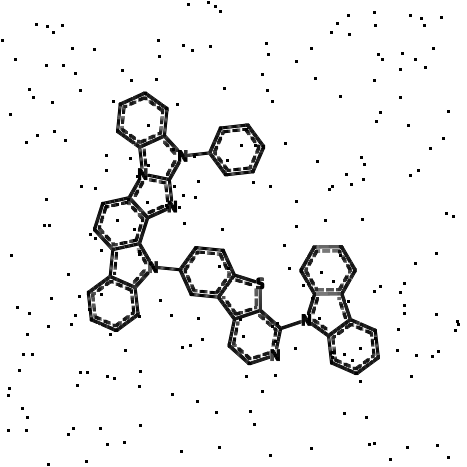 c1ccc(-n2c3ccccc3n3c4ccc5c6ccccc6n(-c6ccc7sc8c(-n9c%10ccccc%10c%10ccccc%109)nccc8c7c6)c5c4nc23)cc1